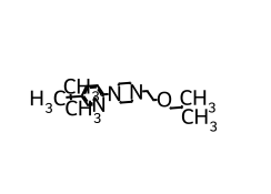 CC(C)COCCN1CCN(c2ccc(C(C)(C)C)cn2)CC1